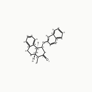 CN1C(=O)CC(Sc2cnc3ccccc3n2)[C@]2(C)c3ccccc3CC[C@@H]12